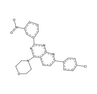 O=[N+]([O-])c1cccc(-c2nc(N3CCOCC3)c3ccc(-c4ccc(Cl)cc4)nc3n2)c1